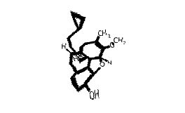 COC1=C(C)C[C@@]2(O)[C@H]3Cc4ccc(O)c5c4[C@@]2(CCN3CC2CC2)[C@H]1O5